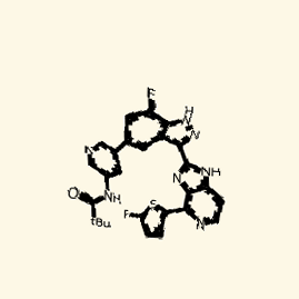 CC(C)(C)C(=O)Nc1cncc(-c2cc(F)c3[nH]nc(-c4nc5c(-c6ccc(F)s6)nccc5[nH]4)c3c2)c1